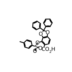 Cc1ccc(S(=O)(=O)Oc2c(C(=O)O)ccc3c2OC(c2ccccc2)(c2ccccc2)O3)cc1